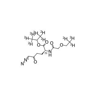 [2H]C([2H])([2H])COCC(=O)N[C@@H](CCC(=O)C=[N+]=[N-])C(=O)OC(C([2H])([2H])[2H])C([2H])([2H])[2H]